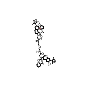 COc1cc2c(cc1-c1c(C)noc1C)ncc1c2n(C(C)c2ccccn2)c(=O)n1CC(=O)NCCOCCNC(=O)Cn1c(=O)n(C(C)c2ccccn2)c2c3cc(OC)c(-c4c(C)noc4C)cc3ncc21